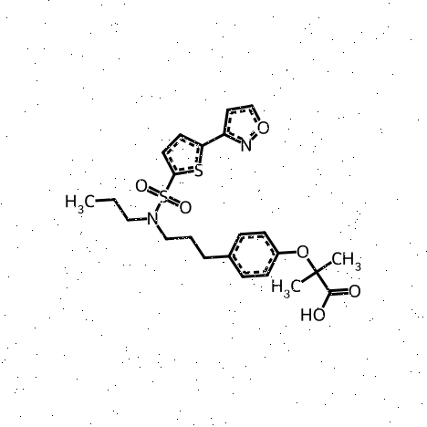 CCCN(CCCc1ccc(OC(C)(C)C(=O)O)cc1)S(=O)(=O)c1ccc(-c2ccon2)s1